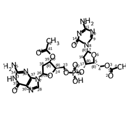 CC(=O)OC[C@H]1O[C@@H](n2cnc(N)nc2=O)C[C@H]1OP(=O)(O)OC[C@H]1O[C@@H](n2cnc3c(=O)[nH]c(N)nc32)C[C@H]1OC(C)=O